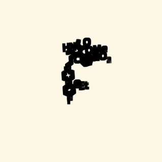 CCOc1cc(F)ccc1N1CCN(CCCC2(C(=O)O)C(C)NC(C)=C(C(=O)OC)C2c2cccc([N+](=O)[O-])c2)CC1